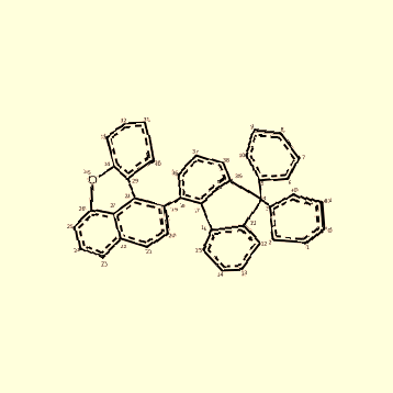 c1ccc(C2(c3ccccc3)c3ccccc3-c3c(-c4ccc5cccc6c5c4-c4ccccc4O6)cccc32)cc1